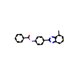 Cc1cccc2[nH]c(-c3ccc(NC(=O)c4ccccc4)cc3)nc12